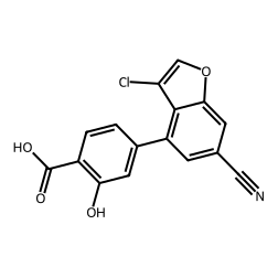 N#Cc1cc(-c2ccc(C(=O)O)c(O)c2)c2c(Cl)coc2c1